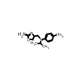 Cc1ccc(N(CC2COC(N)=N2)C(C)C)cc1